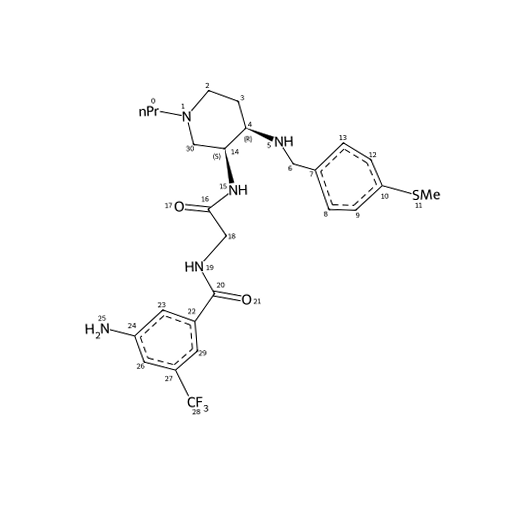 CCCN1CC[C@@H](NCc2ccc(SC)cc2)[C@@H](NC(=O)CNC(=O)c2cc(N)cc(C(F)(F)F)c2)C1